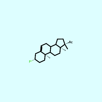 CC(=O)[C@@]1(C)CCC2C3CC=C4C[C@@H](F)CC[C@]4(C)C3CC[C@@]21C